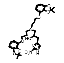 CC1(C)Oc2cccc(OCCCN(CCCOc3cccc4c3OC(C)(C)O4)CC(O)Cc3c[nH]c([N+](=O)[O-])n3)c2O1